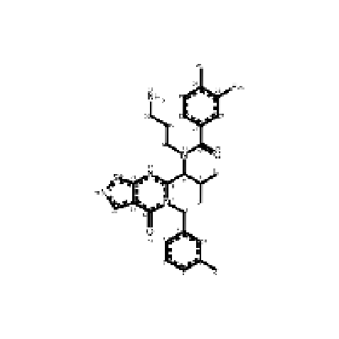 Cc1cccc(Cn2c(C(C(C)C)N(CCCN)C(=O)c3ccc(C)c(F)c3)nc3sncc3c2=O)c1